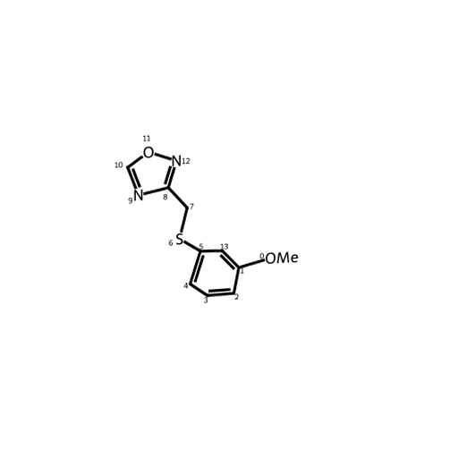 COc1cccc(SCc2ncon2)c1